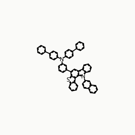 c1ccc(-c2ccc(N(c3ccc(-c4ccccc4)cc3)c3cccc(-c4cc5c6ccccc6n(-c6ccc7ccccc7c6)c5c5c4sc4ccccc45)c3)cc2)cc1